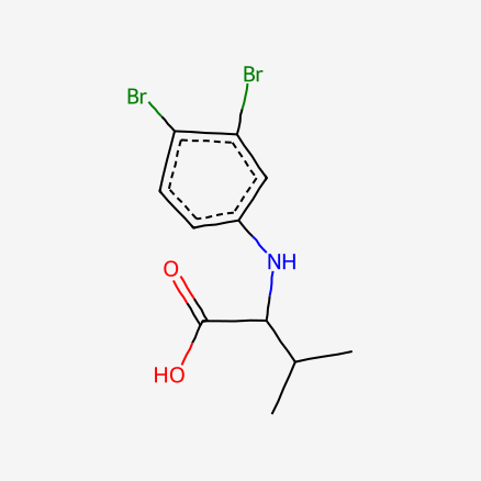 CC(C)C(Nc1ccc(Br)c(Br)c1)C(=O)O